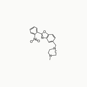 CN1CCN(Cc2ccc3oc(-c4ccccc4[N+](=O)[O-])nc3c2)CC1